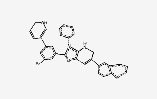 Brc1cc(C2=CNCC=C2)cc(-c2nc3c(n2-c2ccccc2)NCC(c2ccc4ccccc4c2)=C3)c1